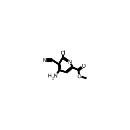 COC(=O)c1cc(N)c(C#N)c(Cl)n1